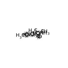 CNc1cc(C)c(N2CCC(N3CCN(C)CC3)CC2)c2c1OCC2